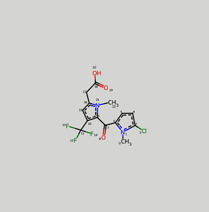 Cn1c(Cl)ccc1C(=O)c1c(C(F)(F)F)cc(CC(=O)O)n1C